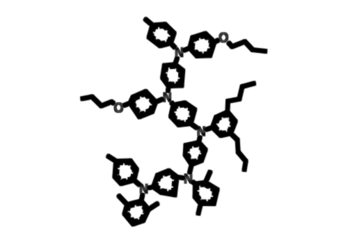 CCCCOc1ccc(N(c2ccc(C)cc2)c2ccc(N(c3ccc(OCCCC)cc3)c3ccc(N(c4ccc(N(c5ccc(N(c6ccc(C)cc6)c6c(C)cccc6C)cc5)c5cc(C)ccc5C)cc4)c4cc(CCCC)cc(CCCC)c4)cc3)cc2)cc1